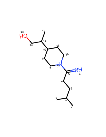 CC(C)CCC(=N)N1CCC(C(C)CO)CC1